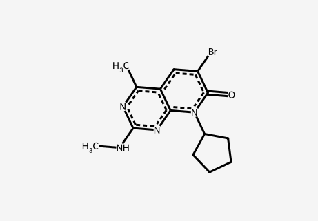 CNc1nc(C)c2cc(Br)c(=O)n(C3CCCC3)c2n1